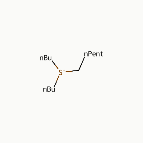 CCCCCC[S+](CCCC)CCCC